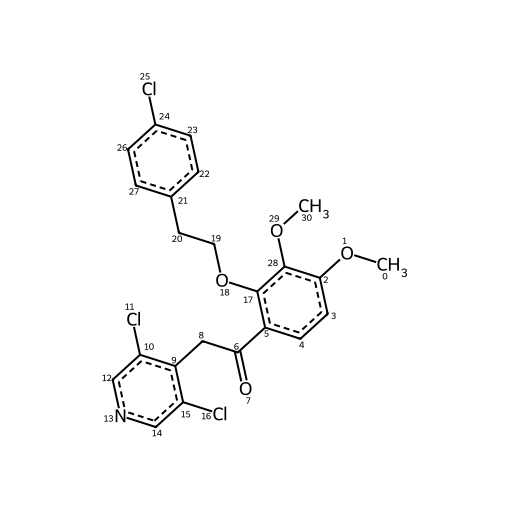 COc1ccc(C(=O)Cc2c(Cl)cncc2Cl)c(OCCc2ccc(Cl)cc2)c1OC